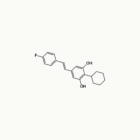 Oc1cc(C=Cc2ccc(F)cc2)cc(O)c1C1CCCCC1